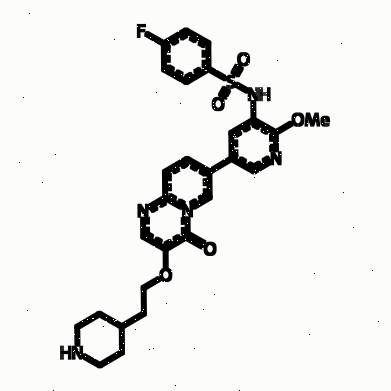 COc1ncc(-c2ccc3ncc(OCCC4CCNCC4)c(=O)n3c2)cc1NS(=O)(=O)c1ccc(F)cc1